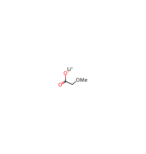 COCC(=O)[O-].[Li+]